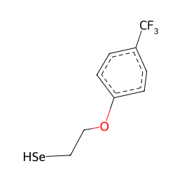 FC(F)(F)c1ccc(OCC[SeH])cc1